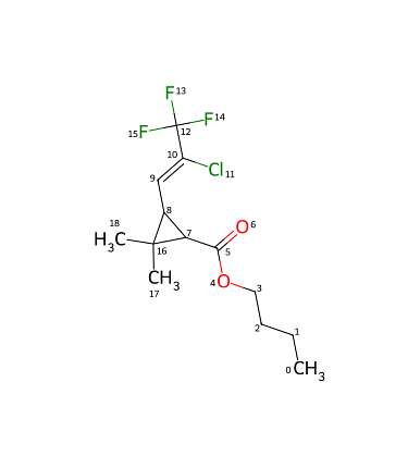 CCCCOC(=O)C1C(C=C(Cl)C(F)(F)F)C1(C)C